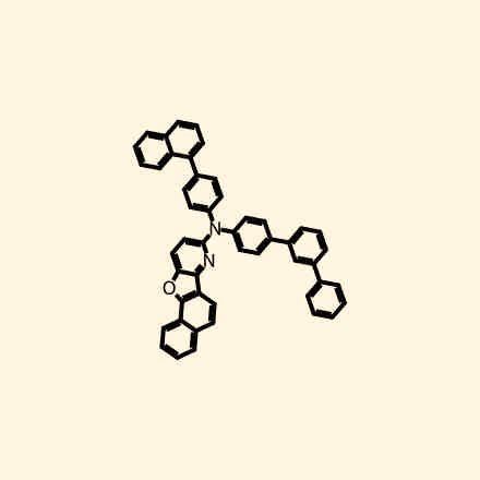 c1ccc(-c2cccc(-c3ccc(N(c4ccc(-c5cccc6ccccc56)cc4)c4ccc5oc6c7ccccc7ccc6c5n4)cc3)c2)cc1